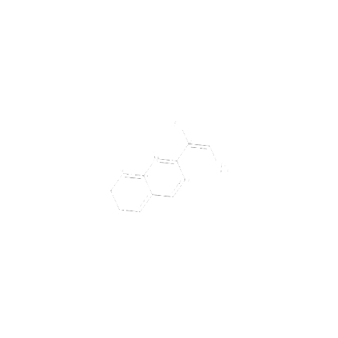 C/C=C(/CC)c1ccc2c(n1)=CCCC=2